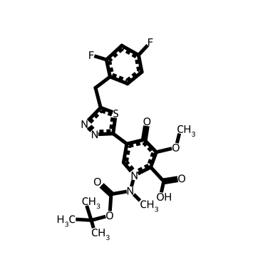 COc1c(C(=O)O)n(N(C)C(=O)OC(C)(C)C)cc(-c2nnc(Cc3ccc(F)cc3F)s2)c1=O